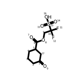 O=C1CCCC(C(=O)OCC(F)(F)S(=O)(=O)O)C1